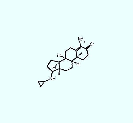 C[C@]12CCC(=O)C(N)=C1CC[C@@H]1[C@H]2CC[C@]2(C)C(NC3CC3)CC[C@@H]12